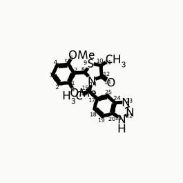 COc1cccc(OC)c1C1SC(C)C(=O)N1C(C)c1ccc2[nH]nnc2c1